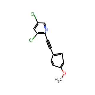 COc1ccc(C#Cc2ncc(Cl)cc2Cl)cc1